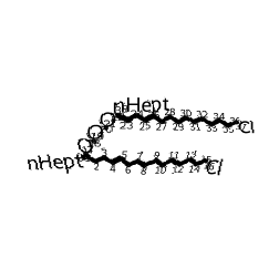 CCCCCCCC(CCC=CCCCCCCCCCCCl)OCOCOC(CCC=CCCCCCCCCCCCl)CCCCCCC